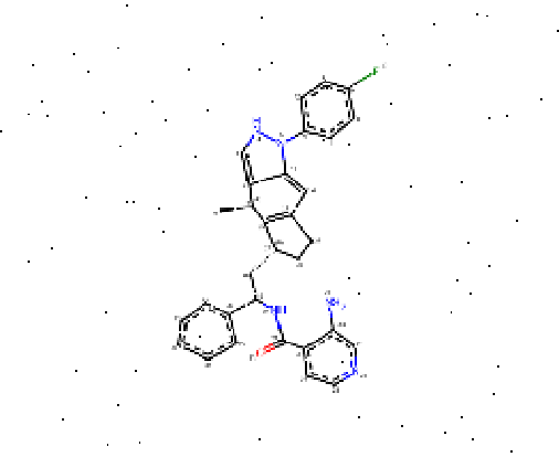 C[C@H]1C2=CNN(c3ccc(F)cc3)C2=CC2=C1[C@@H](CC(NC(=O)c1ccncc1N)c1ccccc1)CC2